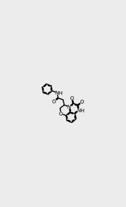 O=C(CC1COc2cccc3[nH]c(=O)c(=O)n1c23)Nc1ccccc1